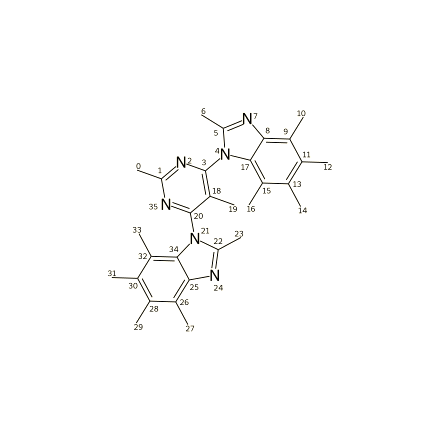 Cc1nc(-n2c(C)nc3c(C)c(C)c(C)c(C)c32)c(C)c(-n2c(C)nc3c(C)c(C)c(C)c(C)c32)n1